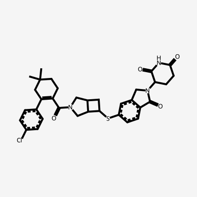 CC1(C)CCC(C(=O)N2CC3CC(Sc4ccc5c(c4)CN(C4CCC(=O)NC4=O)C5=O)C3C2)=C(c2ccc(Cl)cc2)C1